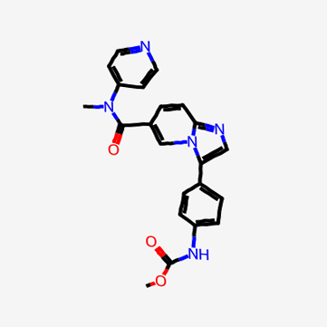 COC(=O)Nc1ccc(-c2cnc3ccc(C(=O)N(C)c4ccncc4)cn23)cc1